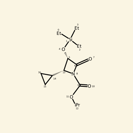 CC[Si](CC)(CC)O[C@@H]1C(=O)N(C(=O)OC(C)C)[C@@H]1C1CC1